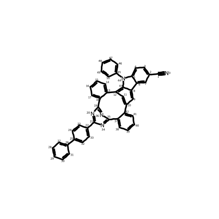 N#Cc1ccc2c(c1)c1cc3cc(c4ccccc4c4nc(-c5ccc(-c6ccccc6)cc5)nc(n4)c4ccccc34)c1n2-c1ccccc1